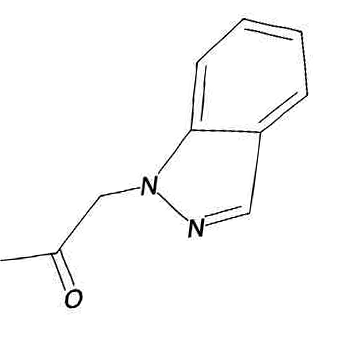 CC(=O)Cn1ncc2ccccc21